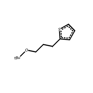 CC(C)(C)OCC[CH]c1cccs1